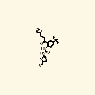 CCCCCC(=O)c1cc(C(F)(F)F)ccc1NC(=O)Nc1ncc(Br)s1